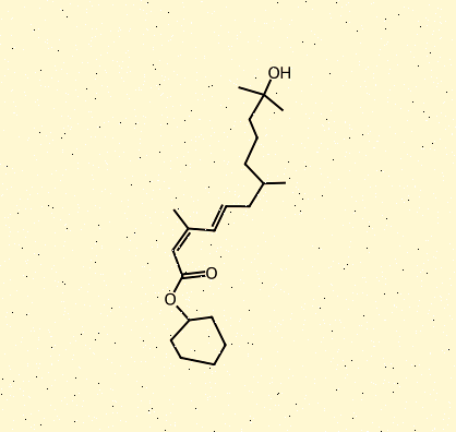 CC(C=CCC(C)CCCC(C)(C)O)=CC(=O)OC1CCCCC1